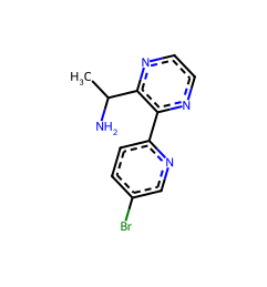 CC(N)c1nccnc1-c1ccc(Br)cn1